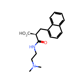 CN(C)CCNC(=O)[C@H](Cc1cccc2ccccc12)C(=O)O